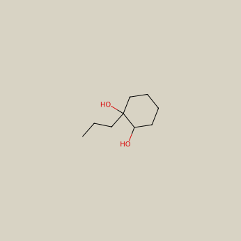 CCCC1(O)CCCCC1O